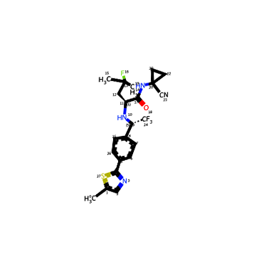 Cc1cnc(-c2ccc([C@H](N[C@@H](CC(C)(C)F)C(=O)NC3(C#N)CC3)C(F)(F)F)cc2)s1